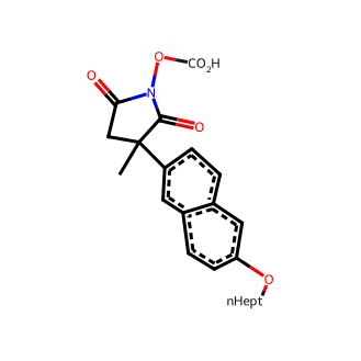 CCCCCCCOc1ccc2cc(C3(C)CC(=O)N(OC(=O)O)C3=O)ccc2c1